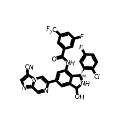 N#Cc1cnc2cnc(-c3cc(NC(=O)c4cc(F)cc(C(F)(F)F)c4)c4c(c3)C(O)N[C@H]4c3cc(F)ccc3Cl)cn12